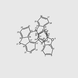 c1ccc2c(c1)oc1cccc(-c3cccc4sc5cccc(-n6c7ccccc7c7ccccc76)c5c34)c12